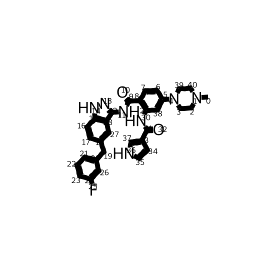 CN1CCN(c2ccc(C(=O)Nc3n[nH]c4ccc(Cc5cccc(F)c5)cc34)c(NC(=O)c3cc[nH]c3)c2)CC1